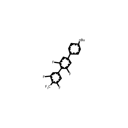 CCCCc1ccc(-c2cc(F)c(-c3cc(F)c(C(F)(F)F)c(F)c3)c(F)c2)cc1